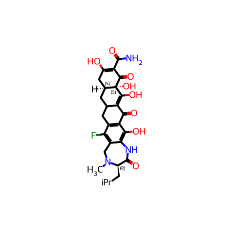 CC(C)C[C@@H]1C(=O)Nc2c(O)c3c(c(F)c2CN1C)CC1C[C@H]2CC(O)=C(C(N)=O)C(=O)[C@@]2(O)C(O)=C1C3=O